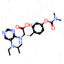 CCN(c1cncnc1N[C@@H](Cc1ccc(OC(=O)N(C)C)cc1)C(=O)O)C(C)C